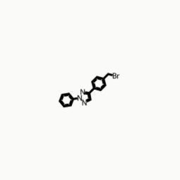 BrCc1ccc(-c2cnn(-c3ccccc3)n2)cc1